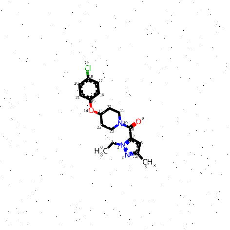 CCn1nc(C)cc1C(=O)N1CCC(Oc2ccc(Cl)cc2)CC1